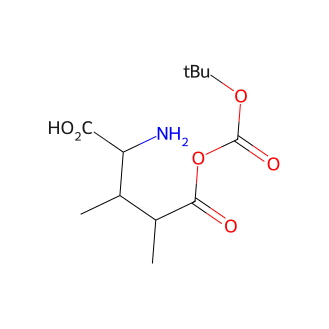 CC(C(=O)OC(=O)OC(C)(C)C)C(C)C(N)C(=O)O